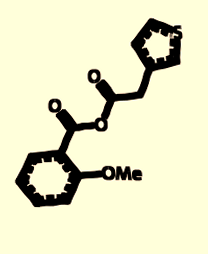 COc1ccccc1C(=O)OC(=O)Cc1ccsc1